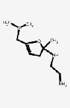 CN(C)CC1=CCC(C)(NCCN)O1